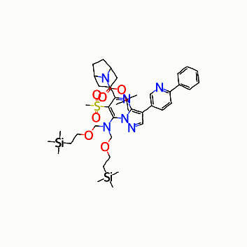 CC(C)(C)OC(=O)N1C2CCC1CC(c1nc3c(-c4ccc(-c5ccccc5)nc4)cnn3c(N(COCC[Si](C)(C)C)COCC[Si](C)(C)C)c1S(C)(=O)=O)C2